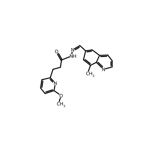 COc1cccc(CCC(=O)N/N=C\c2cc(C)c3ncccc3c2)n1